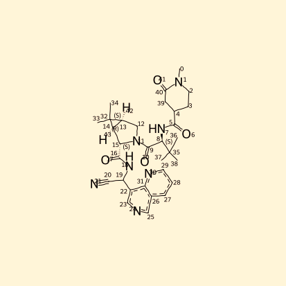 CN1CCC(C(=O)N[C@H](C(=O)N2C[C@H]3[C@@H]([C@H]2C(=O)NC(C#N)c2cncc4cccnc24)C3(C)C)C(C)(C)C)CC1=O